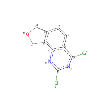 Clc1nc(Cl)c2ccc3c(c2n1)COC3